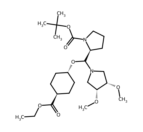 CCOC(=O)[C@H]1CC[C@H](OC([C@@H]2CCCN2C(=O)OC(C)(C)C)N2C[C@H](OC)[C@H](OC)C2)CC1